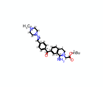 CCCCOC(=O)CN1CCc2ccc(C(=O)c3ccc(C=NN4CCN(C)CC4)cc3)cc2C1N